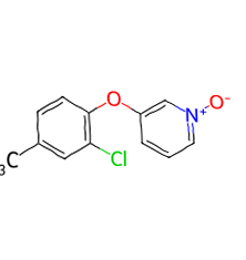 Cc1ccc(Oc2ccc[n+]([O-])c2)c(Cl)c1